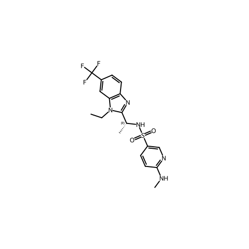 CCn1c([C@@H](C)NS(=O)(=O)c2ccc(NC)nc2)nc2ccc(C(F)(F)F)cc21